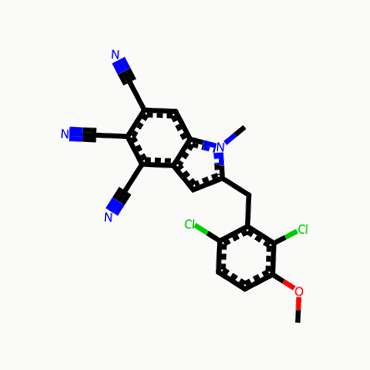 COc1ccc(Cl)c(Cc2cc3c(C#N)c(C#N)c(C#N)cc3n2C)c1Cl